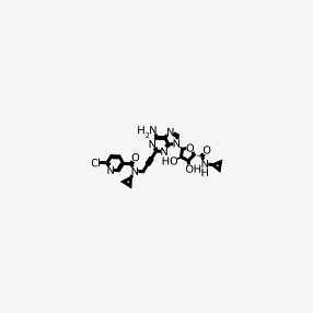 Nc1nc(C#CCN(C(=O)c2ccc(Cl)nc2)C2CC2)nc2c1ncn2[C@@H]1O[C@H](C(=O)NC2CC2)C(O)[C@H]1O